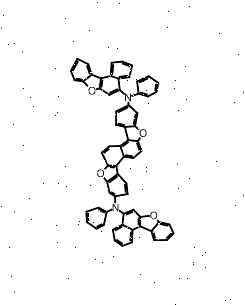 c1ccc(N(c2ccc3c(c2)oc2ccc4c(ccc5oc6cc(N(c7ccccc7)c7cc8oc9ccccc9c8c8ccccc78)ccc6c54)c23)c2cc3oc4ccccc4c3c3ccccc23)cc1